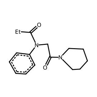 CCC(=O)N(CC(=O)N1CCCCC1)c1ccccc1